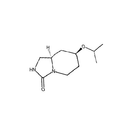 CC(C)O[C@H]1CCN2C(=O)NC[C@H]2C1